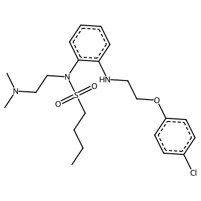 CCCCS(=O)(=O)N(CCN(C)C)c1ccccc1NCCOc1ccc(Cl)cc1